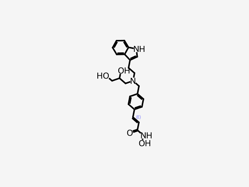 O=C(/C=C/c1ccc(CN(CCc2c[nH]c3ccccc23)CC(O)CO)cc1)NO